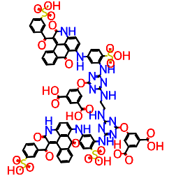 O=C(O)c1cc(Oc2nc(NCCNc3nc(Nc4cc(Nc5ccc6[nH]c(=O)c(C(=O)c7cccc(S(=O)(=O)O)c7)c7c6c5C(=O)c5ccccc5-7)ccc4S(=O)(=O)O)nc(Oc4cc(C(=O)O)cc(C(=O)O)c4)n3)nc(Nc3cc(Nc4ccc5[nH]c(=O)c(C(=O)c6cccc(S(=O)(=O)O)c6)c6c5c4C(=O)c4ccccc4-6)ccc3S(=O)(=O)O)n2)cc(C(=O)O)c1